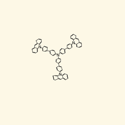 C1=CCC2=Cc3ccccc3N(c3ccc(-c4ccc(N(c5ccc(-c6ccc(N7C8=CC=CCC8=Cc8ccccc87)cc6)cc5)c5ccc(-c6ccc(N7C8=CC=CCC8=Cc8ccccc87)cc6)cc5)cc4)cc3)C2=C1